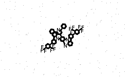 N#Cc1cc(-n2c3ccccc3c3cc(-c4ccc(C(F)(F)F)cc4C(F)(F)F)ccc32)c(-c2cc(-c3ccccc3)nc(-c3ccccc3)c2)cc1-n1c2ccccc2c2cc(-c3ccc(C(F)(F)F)cc3C(F)(F)F)ccc21